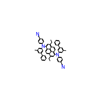 CCc1cc(N(c2ccc(C#N)cc2)c2cc(C)cc(-c3ccccc3)c2)c2ccc3c(CC)cc(N(c4ccc(C#N)cc4)c4cc(C)cc(-c5ccccc5)c4)c4ccc1c2c34